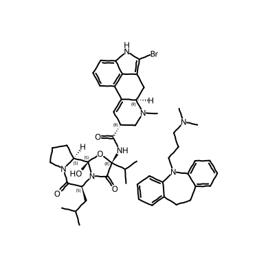 CC(C)C[C@H]1C(=O)N2CCC[C@H]2[C@]2(O)O[C@](NC(=O)[C@@H]3C=C4c5cccc6[nH]c(Br)c(c56)C[C@H]4N(C)C3)(C(C)C)C(=O)N12.CN(C)CCCN1c2ccccc2CCc2ccccc21